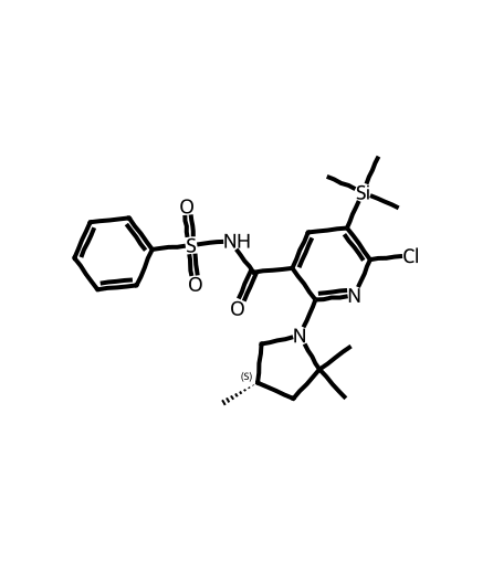 C[C@@H]1CN(c2nc(Cl)c([Si](C)(C)C)cc2C(=O)NS(=O)(=O)c2ccccc2)C(C)(C)C1